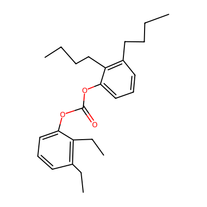 CCCCc1cccc(OC(=O)Oc2cccc(CC)c2CC)c1CCCC